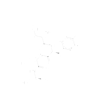 CCCC[C@H](NC(=O)[C@H](CO)NC(=O)[C@H](Cc1ccc(O)cc1)NC(=O)[C@@H](N)CO)C(=O)O